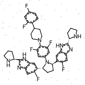 Fc1ccc(C2CCN(c3c(F)cc(N4[C@@H](c5cc6[nH]c([C@@H]7CCCN7)nc6cc5F)CC[C@@H]4c4cc5[nH]c([C@@H]6CCCN6)nc5cc4F)cc3F)CC2)c(F)c1